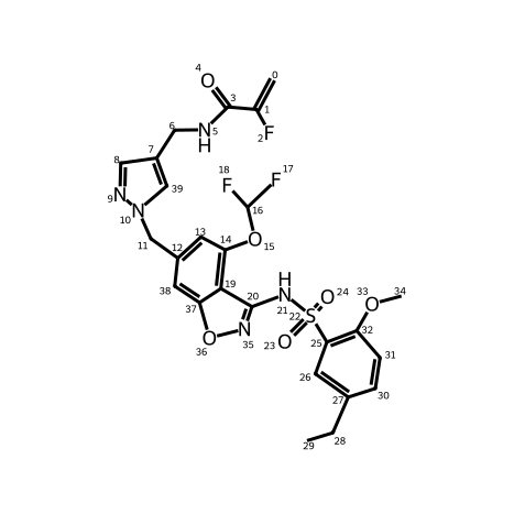 C=C(F)C(=O)NCc1cnn(Cc2cc(OC(F)F)c3c(NS(=O)(=O)c4cc(CC)ccc4OC)noc3c2)c1